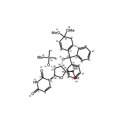 [2H]C(O)[C@H]1O[C@@H](n2ccc(=O)[nH]c2=O)[C@H](O[Si](C)(C)C(C)(C)C)[C@@H]1OC(C1=CCC(OC)(OC)C=C1)(c1ccccc1)c1ccccc1